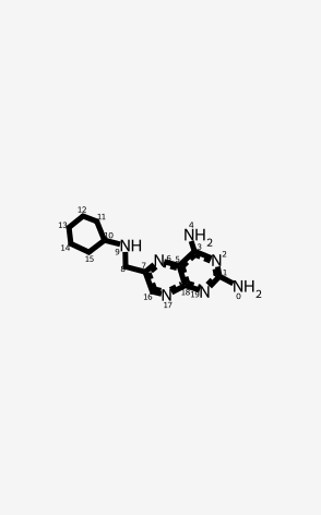 Nc1nc(N)c2nc(CNC3CCCCC3)cnc2n1